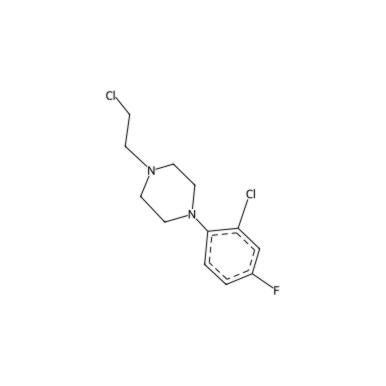 Fc1ccc(N2CCN(CCCl)CC2)c(Cl)c1